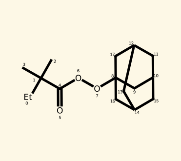 CCC(C)(C)C(=O)OOC12CC3CC(CC(C3)C1)C2